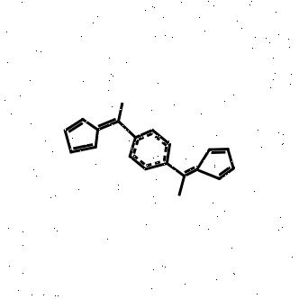 CC(=C1C=CC=C1)c1ccc(C(C)=C2C=CC=C2)cc1